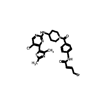 Cc1nc(C)c(-c2nc(NC3CCN(C(=O)c4ccc(NC(=O)/C=C/CBr)cc4)CC3)ncc2Cl)s1